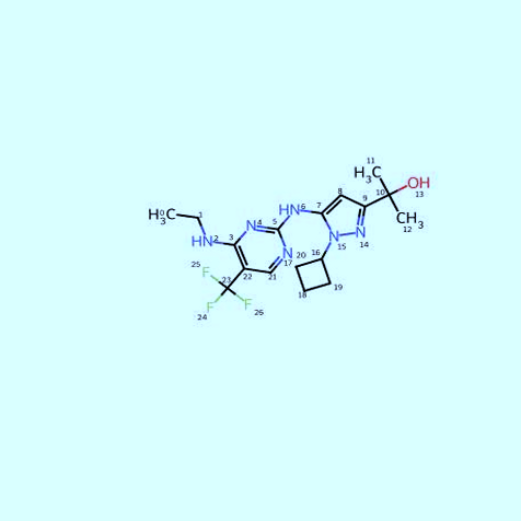 CCNc1nc(Nc2cc(C(C)(C)O)nn2C2CCC2)ncc1C(F)(F)F